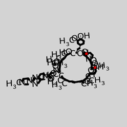 CO[C@H]1C[C@@H]2CC[C@@H](C)[C@@](O)(O2)C(=O)C(=O)N2CCCC[C@H]2C(=O)O[C@H](CC[C@@H]2CC[C@@H](O)[C@H](OC)C2)C[C@@H](O)[C@H](C)/C=C(\C)[C@@H](O)[C@@H](OC)/C(=N/OCC(=O)N2CCc3nc(N4CCN(C)CC4)ncc3C2)[C@H](C)C[C@H](C)C(C)C/C=C/C=C/1C